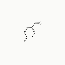 O=CC1=CCC(=S)C=C1